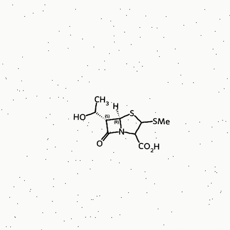 CSC1S[C@@H]2[C@@H](C(C)O)C(=O)N2C1C(=O)O